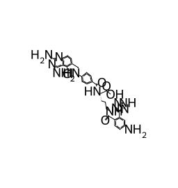 Nc1ccc(C(=O)NCCC[C@H](NC(=O)c2ccc(NCc3ccc4nc(N)nc(N)c4c3Cl)cc2)C(=O)O)c(-c2nn[nH]n2)c1